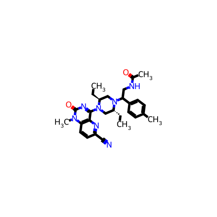 CC[C@H]1CN(C(CNC(C)=O)c2ccc(C)cc2)[C@H](CC)CN1c1nc(=O)n(C)c2ccc(C#N)nc12